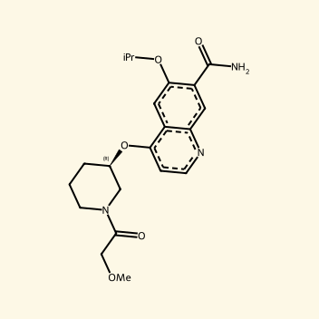 COCC(=O)N1CCC[C@@H](Oc2ccnc3cc(C(N)=O)c(OC(C)C)cc23)C1